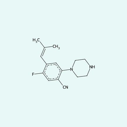 CC(C)=Cc1cc(N2CCNCC2)c(C#N)cc1F